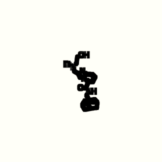 CCN(CCO)Cc1cn2c(C(=O)NCC34CC5CC(CC(C5)C3)C4)cccc2n1